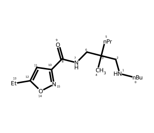 CCCCNCC(C)(CCC)CNC(=O)c1cc(CC)on1